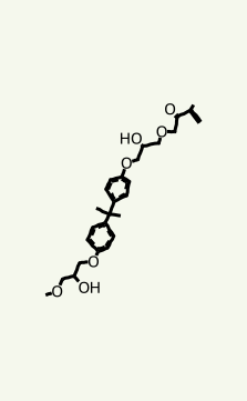 C=C(C)C(=O)COCC(O)COc1ccc(C(C)(C)c2ccc(OCC(O)COC)cc2)cc1